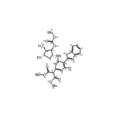 CC[C@H]1C[C@@H](Nc2nc(N(C(=O)OC(C)(C)C)C(=O)OC(C)(C)C)nc(Cl)c2-c2nc3ccccc3s2)C(OC(=O)OC(C)(C)C)[C@@H]1C